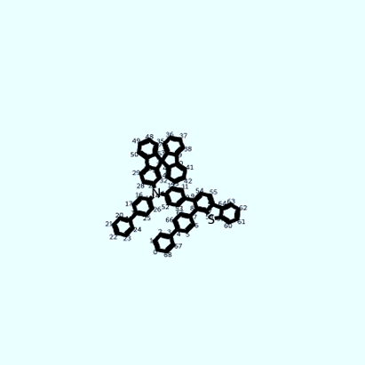 c1ccc(-c2ccc(-c3c(-c4ccc(N(c5ccc(-c6ccccc6)cc5)c5ccc6c(c5)C5(c7ccccc7-c7ccccc75)c5ccccc5-6)cc4)ccc4c3sc3ccccc34)cc2)cc1